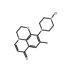 CCN1CCN(c2c(F)cc3c(=O)ccn4c3c2OCC4)CC1